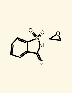 C1CO1.O=C1NS(=O)(=O)c2ccccc21